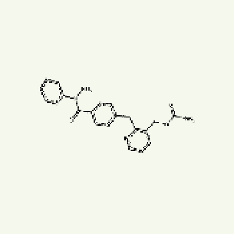 NC(=O)OCc1cccnc1Cc1ccc(C(=O)N(N)c2ccccc2)cc1